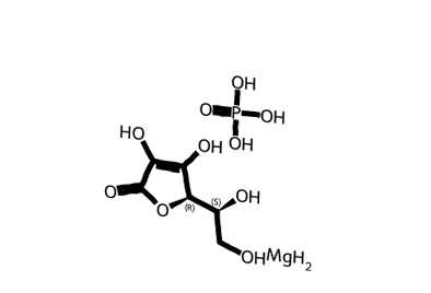 O=C1O[C@H]([C@@H](O)CO)C(O)=C1O.O=P(O)(O)O.[MgH2]